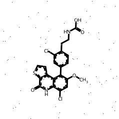 COc1cc(Cl)c2[nH]c(=O)c3sccc3c2c1-c1ccc(CCNC(=O)O)c(Cl)c1